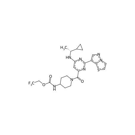 C[C@@H](Nc1cc(C(=O)N2CCC(NC(=O)OCC(F)(F)F)CC2)nc(-c2cnn3ccsc23)n1)C1CC1